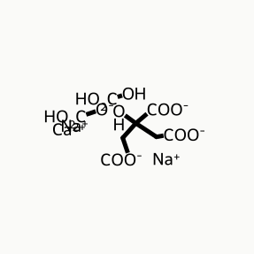 O=C(O)O.O=C([O-])CC(O)(CC(=O)[O-])C(=O)[O-].O=C([O-])O.[Ca+2].[Na+].[Na+]